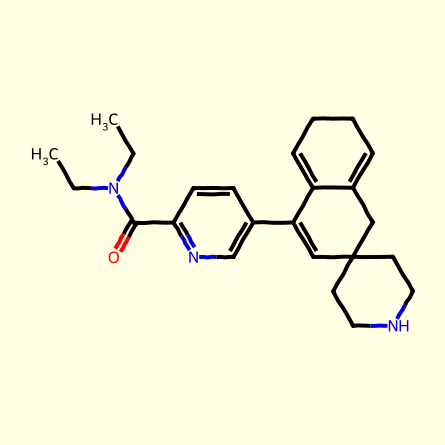 CCN(CC)C(=O)c1ccc(C2=CC3(CCNCC3)CC3=CCCC=C32)cn1